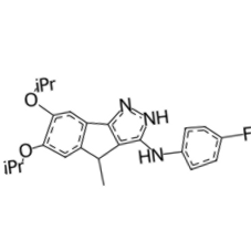 CC(C)Oc1cc2c(cc1OC(C)C)C(C)c1c-2n[nH]c1Nc1ccc(F)cc1